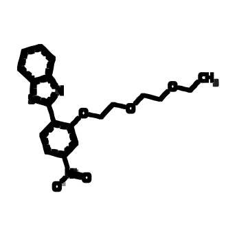 CCOCCOCCOc1cc([N+](=O)[O-])ccc1-c1nc2ccccc2s1